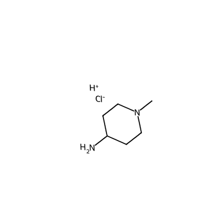 CN1CCC(N)CC1.[Cl-].[H+]